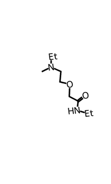 CCNC(=O)COCCN(C)CC